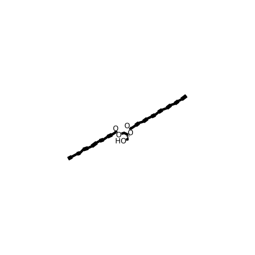 C#CC#CC#CC#CC#CC#CC#CC(=O)O[C@@H](CO)COC(=O)C#CC#CC#CC#CC#CC#C